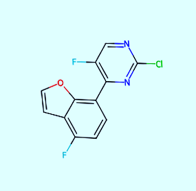 Fc1cnc(Cl)nc1-c1ccc(F)c2ccoc12